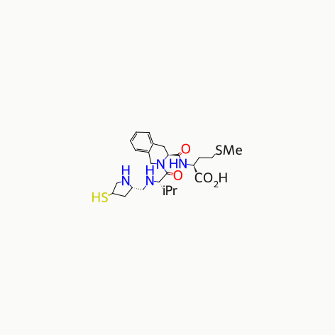 CSCC[C@H](NC(=O)[C@@H]1Cc2ccccc2CN1C(=O)[C@@H](NC[C@@H]1C[C@@H](S)CN1)C(C)C)C(=O)O